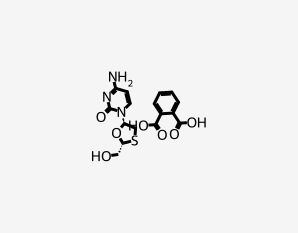 Nc1ccn([C@@H]2CS[C@H](CO)O2)c(=O)n1.O=C(O)c1ccccc1C(=O)O